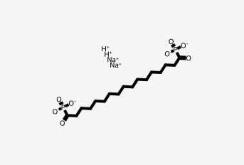 O=C(CCCCCCCCCCCCCCCC(=O)P(=O)([O-])[O-])P(=O)([O-])[O-].[H+].[H+].[Na+].[Na+]